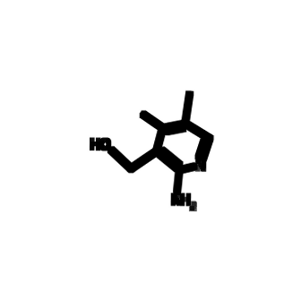 Cc1cnc(N)c(CO)c1C